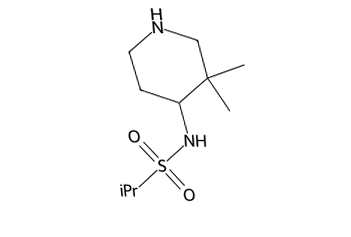 CC(C)S(=O)(=O)NC1CCNCC1(C)C